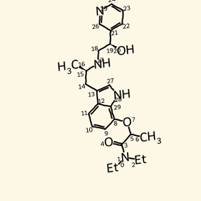 CCN(CC)C(=O)C(C)Oc1cccc2c(C[C@@H](C)NC[C@H](O)c3cccnc3)c[nH]c12